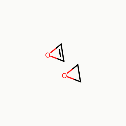 C1=CO1.C1CO1